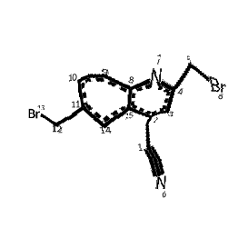 N#Cc1cc(CBr)nc2ccc(CBr)cc12